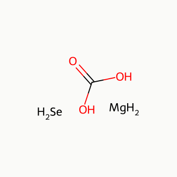 O=C(O)O.[MgH2].[SeH2]